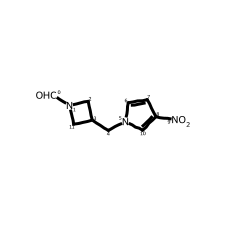 O=CN1CC(Cn2ccc([N+](=O)[O-])c2)C1